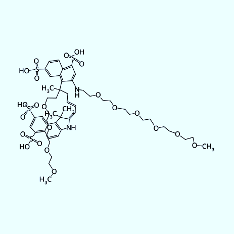 COCCOCCOCCOCCOCCOCCNc1cc(S(=O)(=O)O)c2ccc(S(=O)(=O)O)cc2c1C(C)(C/C=C/C=C1/Nc2ccc3c(S(=O)(=O)O)cc(S(=O)(=O)O)cc3c2C1(C)C)CCOCCOCCOCCOC